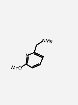 CNCc1cccc(OC)n1